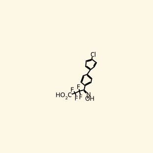 O=C(O)C(F)(F)C(F)(F)C(=NO)c1ccc(-c2ccc(Cl)cc2)cc1